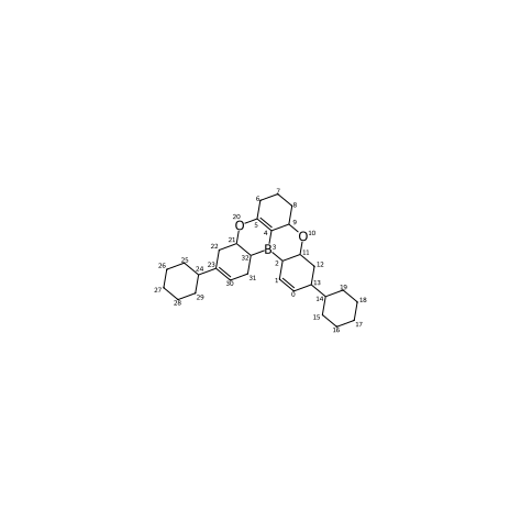 C1=CC2B3C4=C(CCCC4OC2CC1C1CCCCC1)OC1CC(C2CCCCC2)=CCC31